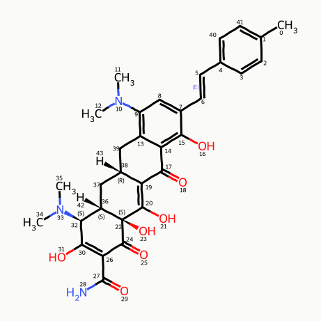 Cc1ccc(/C=C/c2cc(N(C)C)c3c(c2O)C(=O)C2=C(O)[C@]4(O)C(=O)C(C(N)=O)=C(O)[C@@H](N(C)C)[C@@H]4C[C@@H]2C3)cc1